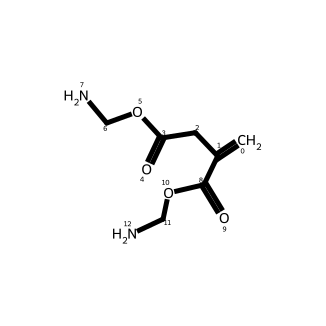 C=C(CC(=O)OCN)C(=O)OCN